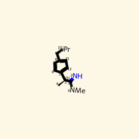 CNC(=N)[C@@H](C)c1ccc(CC(C)C)cc1